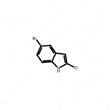 Clc1[c]c2cc(Br)ccc2[nH]1